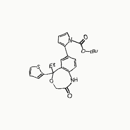 CCC1(c2cccs2)OCC(=O)Nc2ccc(-c3cccn3C(=O)OC(C)(C)C)cc21